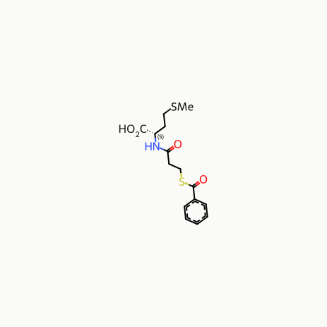 CSCC[C@H](NC(=O)CCSC(=O)c1ccccc1)C(=O)O